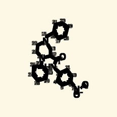 O=C(Nc1ccc([N+](=O)[O-])cc1)C1CN(Cc2ccccc2)CCN1c1ccccc1